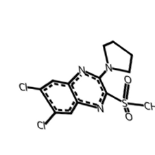 CS(=O)(=O)c1nc2cc(Cl)c(Cl)cc2nc1N1CCCC1